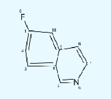 Fc1ccc2cn[c]cc2c1